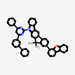 CC1(C)c2cc(-c3cccc4c3oc3ccccc34)ccc2-c2cc3c4ccccc4n(-c4nc(-c5ccccc5)cc(-c5cccc(-c6ccccc6)c5)n4)c3cc21